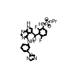 CCCS(=O)(=O)Nc1ccc(F)c(C(=O)c2c[nH]c3ncnc(Nc4cccc(-n5cncn5)c4)c23)c1F